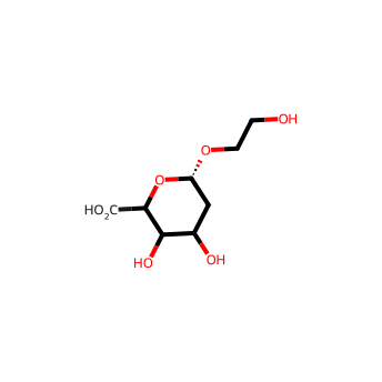 O=C(O)C1O[C@H](OCCO)CC(O)C1O